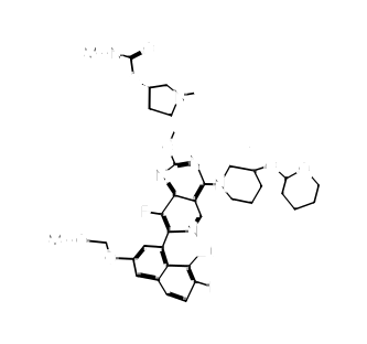 CCc1c(F)ccc2cc(OCOC)cc(-c3ncc4c(N5CCC[C@](C)(OC6CCCCO6)C5)nc(OC[C@@H]5C[C@@H](OC(=O)NC)CN5C)nc4c3F)c12